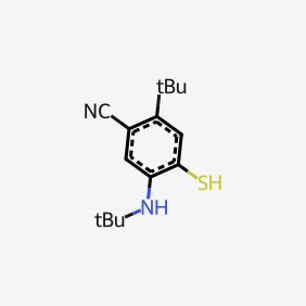 CC(C)(C)Nc1cc(C#N)c(C(C)(C)C)cc1S